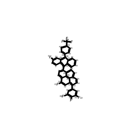 Fc1ccc2c(-c3ccc4c(F)cc5c(-c6cc(F)c(F)c(F)c6)ccc6ccc3c4c65)c3ccccc3c(-c3ccc(C(F)(F)F)cc3)c2c1